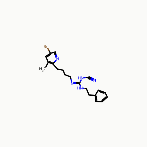 Cc1cc(Br)cnc1CCCCN=C(NC#N)NCCc1ccccc1